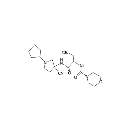 CC(C)(C)CC(NC(=O)N1CCOCC1)C(=O)NC1(C#N)CCN(C2CCCC2)C1